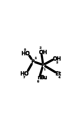 CCCCP(O)(O)(CC)P(O)O